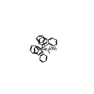 O=[CH][Co]([I])([CH]=O)([PH](c1ccccc1)(c1ccccc1)c1ccccc1)[PH](c1ccccc1)(c1ccccc1)c1ccccc1